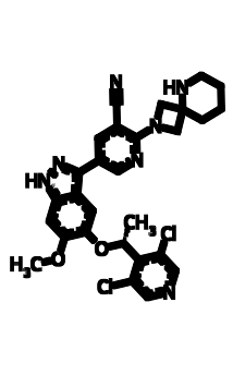 COc1cc2[nH]nc(-c3cnc(N4CC5(CCCCN5)C4)c(C#N)c3)c2cc1O[C@H](C)c1c(Cl)cncc1Cl